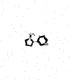 CN1CCC[C@H]1C1=CNC=CC1